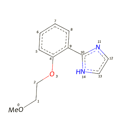 COCCOc1ccccc1-c1ncc[nH]1